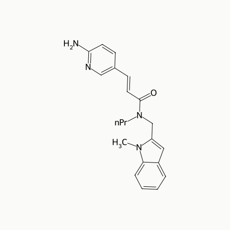 CCCN(Cc1cc2ccccc2n1C)C(=O)/C=C/c1ccc(N)nc1